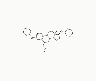 COCC1CC2C(CC[C@@]3(C)C2CC[C@@H]3OC2CCCCO2)c2ccc(OC3CCCCO3)cc21